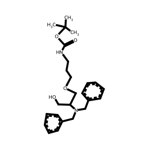 CC(C)(C)OC(=O)NCCCOCC(CO)N(Cc1ccccc1)Cc1ccccc1